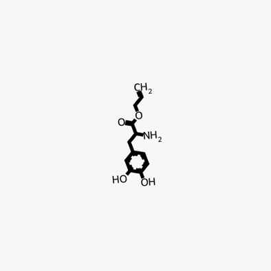 C=CCOC(=O)C(N)Cc1ccc(O)c(O)c1